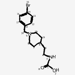 O=C(O)NCCC1CCN(Cc2ccc(Br)cc2)CC1